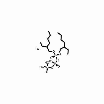 CCCCC(CC)COP(=O)(OCC(CC)CCCC)OP(=O)(O)OP(=O)(O)O.[La]